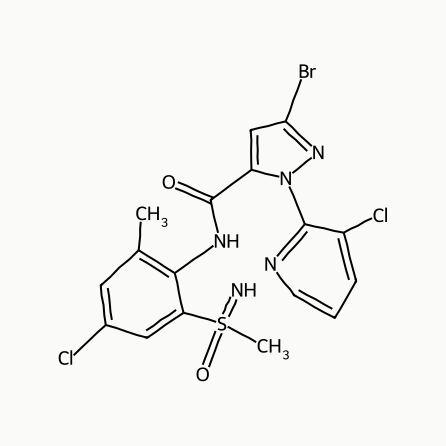 Cc1cc(Cl)cc(S(C)(=N)=O)c1NC(=O)c1cc(Br)nn1-c1ncccc1Cl